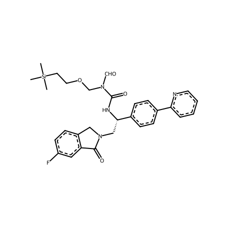 C[Si](C)(C)CCOCN(C=O)C(=O)N[C@@H](CN1Cc2ccc(F)cc2C1=O)c1ccc(-c2ccccn2)cc1